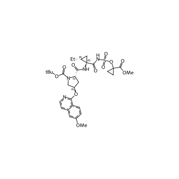 CC[C@@H]1C[C@]1(NC(=O)[C@@H]1C[C@@H](Oc2nccc3cc(OC)ccc23)CN1C(=O)OC(C)(C)C)C(=O)NS(=O)(=O)OC1(C(=O)OC)CC1